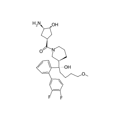 COCCCC[C@@](O)(c1ccccc1-c1ccc(F)c(F)c1)[C@@H]1CCCN(C(=O)[C@H]2C[C@@H](N)[C@@H](O)C2)C1